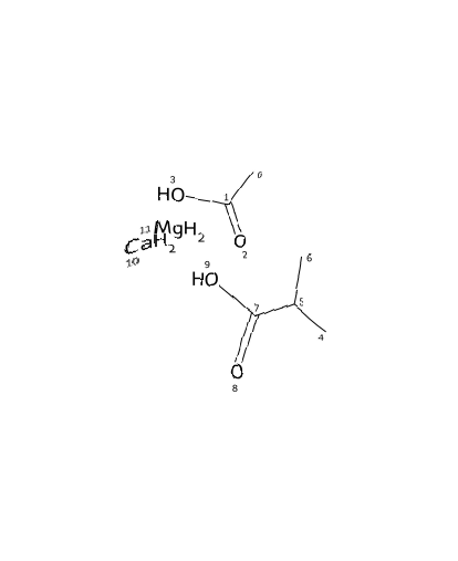 CC(=O)O.CC(C)C(=O)O.[CaH2].[MgH2]